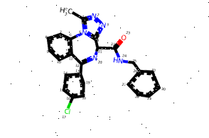 Cc1nnc2n1-c1ccccc1C(c1ccc(Cl)cc1)=NC2C(=O)NCc1ccccc1